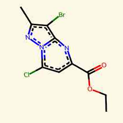 CCOC(=O)c1cc(Cl)n2nc(C)c(Br)c2n1